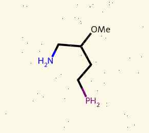 COC(CN)CCP